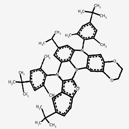 Cc1cc(C(C)(C)C)cc(C)c1N1c2cc3c(cc2B2c4oc5ccc(C(C)(C)C)cc5c4N(c4c(C)cc(C(C)(C)C)cc4C)c4cc(C(C)C)cc1c42)OCCO3